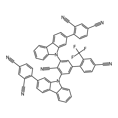 N#Cc1ccc(-c2ccc3c4ccccc4n(-c4cc(-c5ccc(C#N)cc5C(F)(F)F)cc(-n5c6ccccc6c6ccc(-c7ccc(C#N)cc7C#N)cc65)c4C#N)c3c2)c(C#N)c1